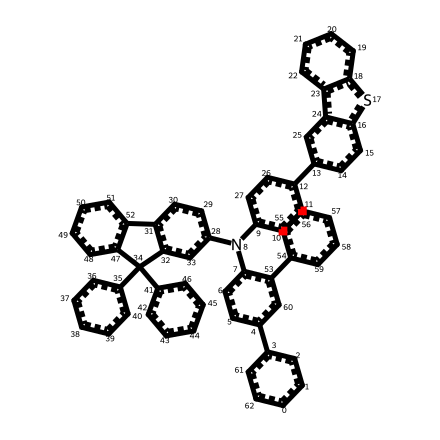 c1ccc(-c2ccc(N(c3ccc(-c4ccc5sc6ccccc6c5c4)cc3)c3ccc4c(c3)C(c3ccccc3)(c3ccccc3)c3ccccc3-4)c(-c3ccccc3)c2)cc1